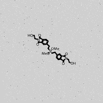 CO[Si](CCc1ccc2c(c1)C(=O)N(CCO)C2=O)(CCc1ccc2c(c1)C(=O)N(CCO)C2=O)OC